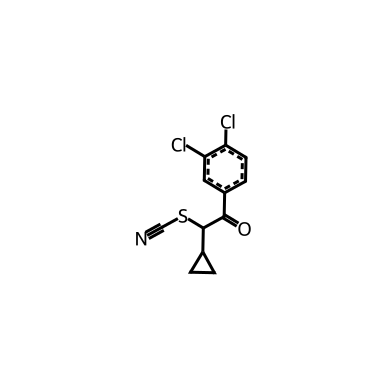 N#CSC(C(=O)c1ccc(Cl)c(Cl)c1)C1CC1